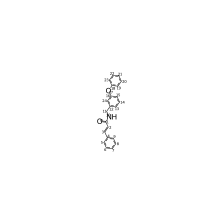 O=C(/C=C/c1ccccc1)NCc1cccc(Oc2ccccc2)c1